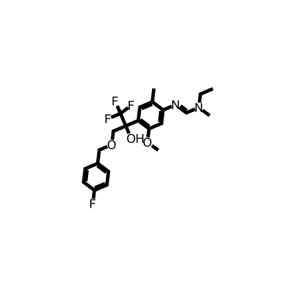 CCN(C)C=Nc1cc(OC)c(C(O)(COCc2ccc(F)cc2)C(F)(F)F)cc1C